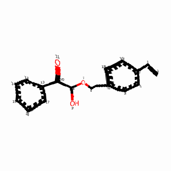 C=Cc1ccc(COC(O)C(=O)c2ccccc2)cc1